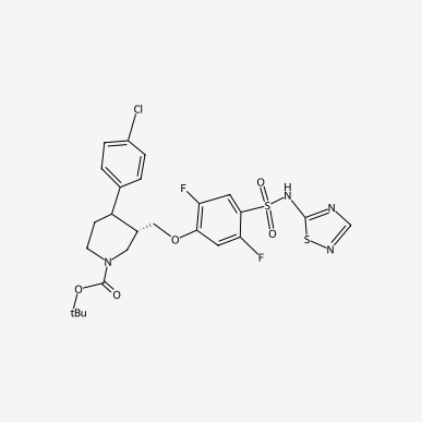 CC(C)(C)OC(=O)N1CCC(c2ccc(Cl)cc2)[C@H](COc2cc(F)c(S(=O)(=O)Nc3ncns3)cc2F)C1